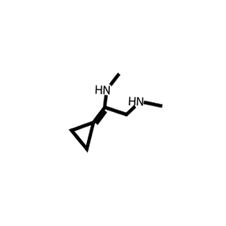 CNCC(NC)=C1CC1